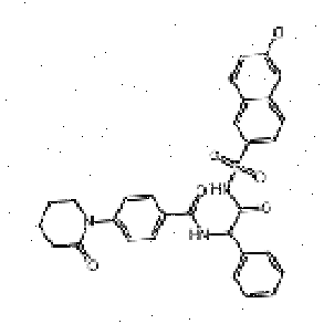 O=C(NC(C(=O)NS(=O)(=O)c1ccc2cc(Cl)ccc2c1)c1ccccc1)c1ccc(N2CCCCC2=O)cc1